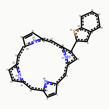 C1=Cc2cc3cc(-c4cc5ccccc5s4)c(cc4nc(cc5ccc(cc1n2)[nH]5)C=C4)[nH]3